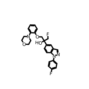 OC(CF)(COc1ccccc1N1CCOCC1)c1ccc2c(cnn2-c2ccc(F)cc2)c1